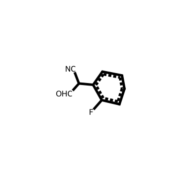 N#CC(C=O)c1ccccc1F